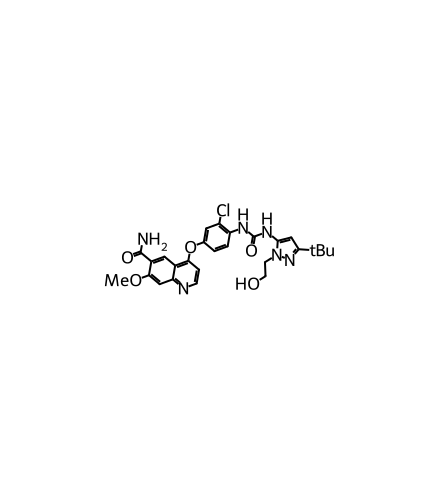 COc1cc2nccc(Oc3ccc(NC(=O)Nc4cc(C(C)(C)C)nn4CCO)c(Cl)c3)c2cc1C(N)=O